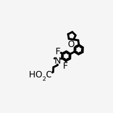 CN(CCCC(=O)O)c1c(F)cc(-c2cccc3c2OC2(CCCC2)C3)cc1F